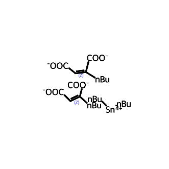 CCCC/C(=C/C(=O)[O-])C(=O)[O-].CCCC/C(=C/C(=O)[O-])C(=O)[O-].CCC[CH2][Sn+4][CH2]CCC